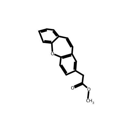 COC(=O)Cc1ccc2c(c1)C=Cc1ccccc1O2